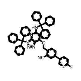 N#Cc1cc(-c2ccc(F)nc2)ccc1COc1cc(NC(c2ccccc2)(c2ccccc2)c2ccccc2)nc2c1nnn2C(c1ccccc1)(c1ccccc1)c1ccccc1